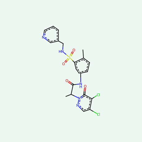 Cc1ccc(NC(=O)C(C)n2ncc(Cl)c(Cl)c2=O)cc1S(=O)(=O)NCc1cccnc1